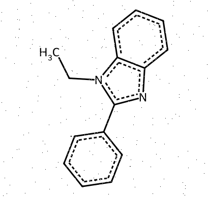 CCn1c(-c2[c]cccc2)nc2ccccc21